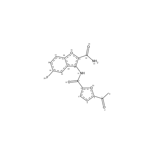 CC(=O)c1ccc(C(=O)Nc2c(C(N)=O)oc3ccc(F)cc23)o1